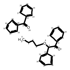 CCCCOC(C(=O)c1ccccc1)c1ccccc1.O=C(c1ccccc1)c1ccccc1